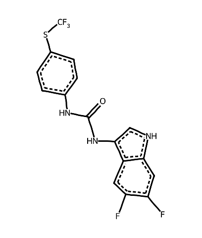 O=C(Nc1ccc(SC(F)(F)F)cc1)Nc1c[nH]c2cc(F)c(F)cc12